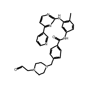 Cc1ccc(NC(=O)c2ccc(CN3CCN(CC=O)CC3)cc2)cc1Nc1nccc(-c2cccnc2)n1